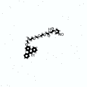 CC/C(=C(\C1=CCCC=C1)c1ccc(OCCN(C)CCOCCOCCOCC(=O)NCC(=O)N2CCC(N=O)C2)cc1)c1ccccc1